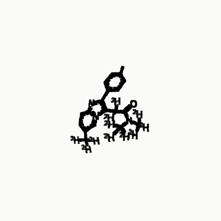 [2H]C([2H])([2H])c1ccc2nc(-c3ccc(C)cc3)c(C([2H])([2H])C(=O)N(C([2H])([2H])[2H])C([2H])([2H])[2H])n2c1